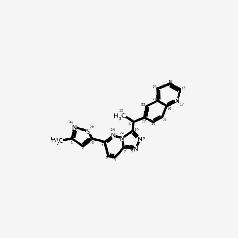 Cc1cc(-c2ccc3nnc(C(C)c4ccc5ncccc5c4)n3n2)sn1